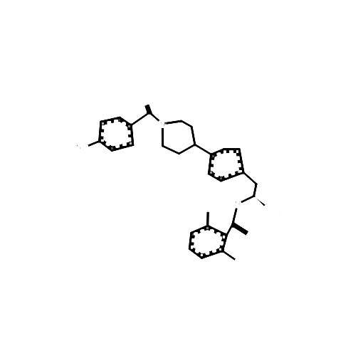 N#Cc1ccc(C(=O)N2CCC(c3ccc(C[C@H](NC(=O)c4c(Cl)cccc4Cl)C(=O)O)cc3)CC2)cc1